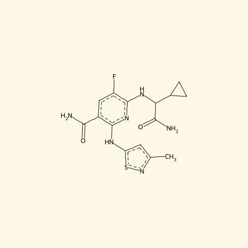 Cc1cc(Nc2nc(NC(C(N)=O)C3CC3)c(F)cc2C(N)=O)sn1